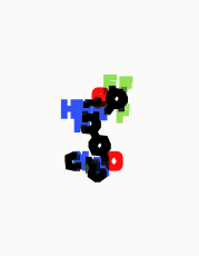 O=C1CNc2ncc(-c3ccc(C(=O)N4CCC[C@H]4CN4CCCC4)cc3)cc2N1Cc1cc(F)c(F)cc1F